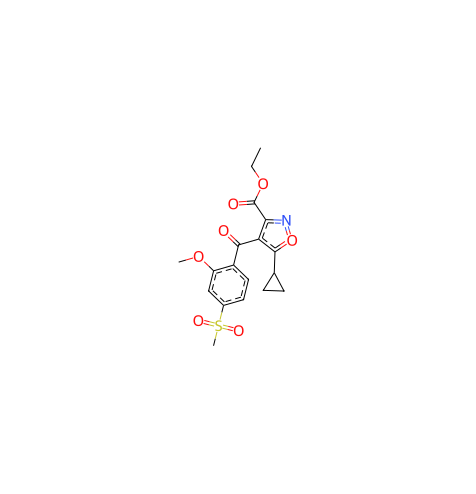 CCOC(=O)c1noc(C2CC2)c1C(=O)c1ccc(S(C)(=O)=O)cc1OC